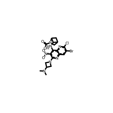 CN(C)C1CN(c2nc3cc(Br)c(Cl)nc3c(NC3C4CC3N(C(=O)O)C4)c2[N+](=O)[O-])C1